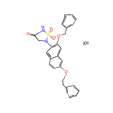 O=C1CN(c2cc3ccc(OCc4ccccc4)cc3cc2OCc2ccccc2)S(=O)(=O)N1.[KH]